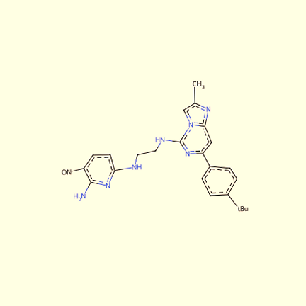 Cc1cn2c(NCCNc3ccc(N=O)c(N)n3)nc(-c3ccc(C(C)(C)C)cc3)cc2n1